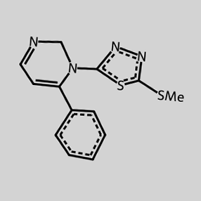 CSc1nnc(N2CN=CC=C2c2ccccc2)s1